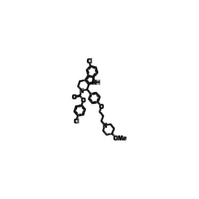 COC1CCN(CCCOc2ccc(C3c4[nH]c5ccc(Cl)cc5c4CCN3C(=O)Oc3ccc(Cl)cc3)cc2)CC1